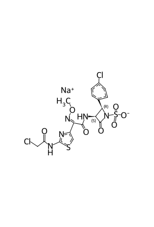 CON=C(C(=O)N[C@@H]1C(=O)N(S(=O)(=O)[O-])[C@@H]1c1ccc(Cl)cc1)c1csc(NC(=O)CCl)n1.[Na+]